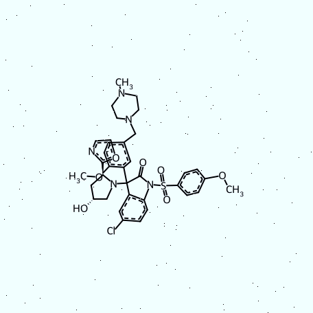 COc1ccc(S(=O)(=O)N2C(=O)C(c3cc(CN4CCN(C)CC4)ccc3OC)(N3C[C@H](O)C[C@H]3c3ncco3)c3cc(Cl)ccc32)cc1